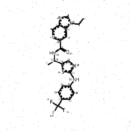 CCn1cnc2cnc(C(=O)N[C@H](C)c3cnc(Nc4ccc(C(F)(F)F)cc4)s3)cc21